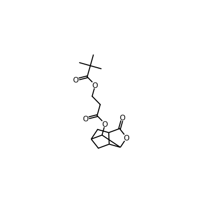 CC(C)(C)C(=O)OCCC(=O)OC1C2CC3C(=O)OC1C3C2